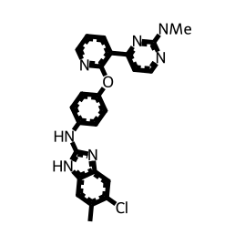 CNc1nccc(-c2cccnc2Oc2ccc(Nc3nc4cc(Cl)c(C)cc4[nH]3)cc2)n1